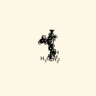 CC(C)(C)OC(=O)CN(c1ccc2c(c1)oc(=O)n2CC(=O)O[C@@H](Cc1c(Cl)c[n+]([O-])cc1Cl)c1ccc(OC(F)F)c(OCC2CC2)c1)[SH](=O)=O